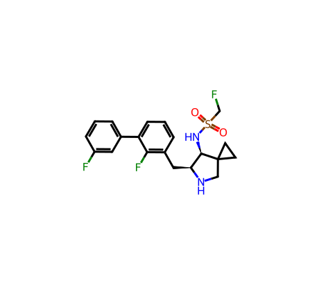 O=S(=O)(CF)N[C@@H]1[C@H](Cc2cccc(-c3cccc(F)c3)c2F)NCC12CC2